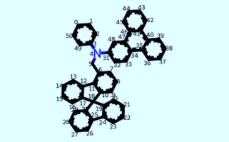 c1ccc(N(Cc2cccc3c2-c2ccccc2C32c3ccccc3-c3ccccc32)c2ccc3c4ccccc4c4ccccc4c3c2)cc1